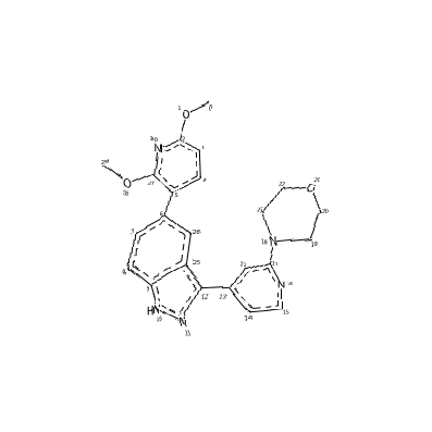 COc1ccc(-c2ccc3[nH]nc(-c4ccnc(N5CCOCC5)c4)c3c2)c(OC)n1